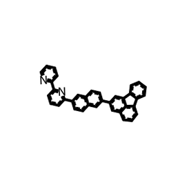 c1ccc(-c2cccc(-c3ccc4cc(-c5cc6c7c(cccc7c5)-c5ccccc5-6)ccc4c3)n2)nc1